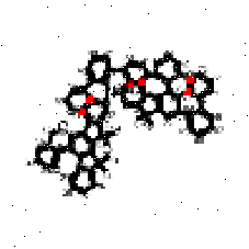 CC1(C)c2cc(N(c3ccc4c(c3)C(C)(C)c3c-4c4c(c5c3C(C)(C)c3ccccc3-5)-c3ccccc3CO4)c3c(-c4ccccc4)cccc3-c3ccccc3)ccc2-c2c1cc(-c1ccccc1-c1ccccc1)c1c2-c2ccccc2OC1